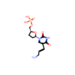 NC/C=C/c1cn([C@H]2CC[C@@H](COP(=O)(O)O)O2)c(=O)[nH]c1=O